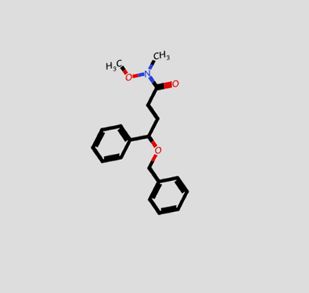 CON(C)C(=O)CCC(OCc1ccccc1)c1ccccc1